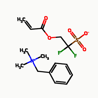 C=CC(=O)OCC(F)(F)S(=O)(=O)[O-].C[N+](C)(C)Cc1ccccc1